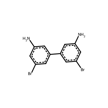 Nc1cc(Br)cc(-c2cc(N)cc(Br)c2)c1